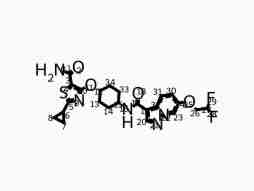 NC(=O)c1sc(C2CC2)nc1O[C@H]1CC[C@H](NC(=O)c2cnn3cc(OCC(F)F)ccc23)CC1